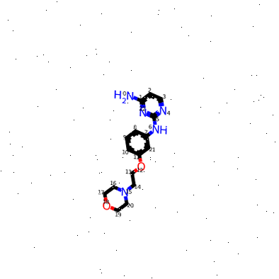 Nc1ccnc(Nc2cccc(OCCN3CCOCC3)c2)n1